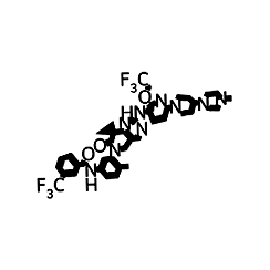 Cc1ccc(NC(=O)c2cccc(C(F)(F)F)c2)cc1N1Cc2cnc(Nc3ccc(N4CCC(N5CCN(C)CC5)CC4)nc3OCC(F)(F)F)nc2C2(CC2)C1=O